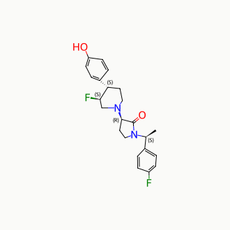 C[C@@H](c1ccc(F)cc1)N1CC[C@@H](N2CC[C@@H](c3ccc(O)cc3)[C@H](F)C2)C1=O